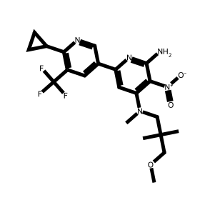 COCC(C)(C)CN(C)c1cc(-c2cnc(C3CC3)c(C(F)(F)F)c2)nc(N)c1[N+](=O)[O-]